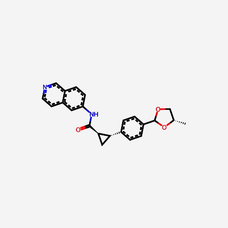 C[C@H]1COC(c2ccc([C@@H]3C[C@H]3C(=O)Nc3ccc4cnccc4c3)cc2)O1